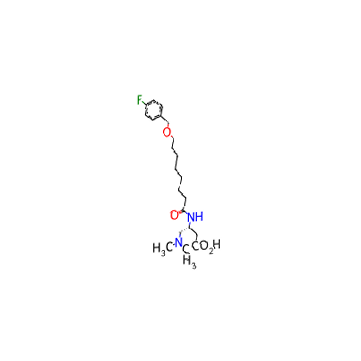 CN(C)C[C@@H](CC(=O)O)NC(=O)CCCCCCCOCc1ccc(F)cc1